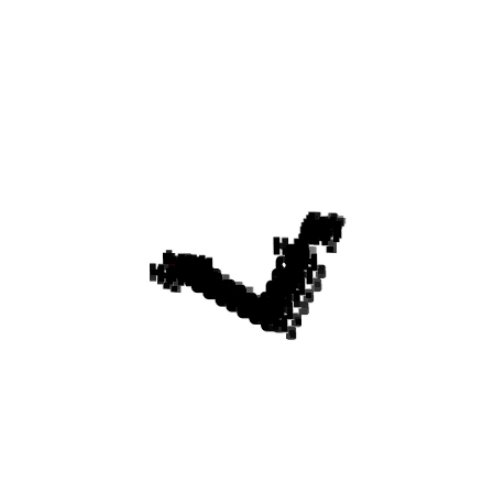 CC(=O)[O-].CC(=O)[O-].CC(=O)[O-].CC(=O)[O-].CC(=O)[O-].CC(=O)[O-].CC(=O)[O-].CC(=O)[O-].CC(=O)[O-].CC(=O)[O-].CC(=O)[O-].CC(=O)[O-].NCCN.NCCN.NCCN.[Fe+3].[Fe+3].[Fe+3].[Fe+3].[NaH].[NaH].[NaH]